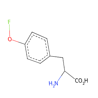 NC(Cc1ccc(OF)cc1)C(=O)O